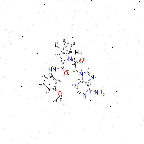 Nc1ncnc2c1ncn2CC(=O)N1[C@@H]2CC[C@@H]2C[C@H]1C(=O)Nc1cccc(OC(F)(F)F)c1